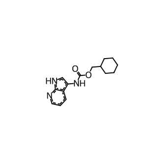 O=C(Nc1c[nH]c2ncccc12)OCC1CCCCC1